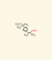 CCC(C)(C)c1ccc(C(C)=C(C)CO)cc1